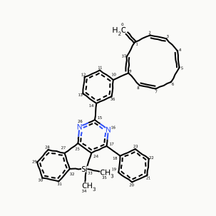 C=C1/C=C\C=C/C/C=C\C(c2cccc(-c3nc(-c4ccccc4)c4c(n3)-c3ccccc3[Si]4(C)C)c2)=C/1